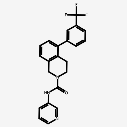 O=C(Nc1cccnc1)N1CCc2c(cccc2-c2cccc(C(F)(F)F)c2)C1